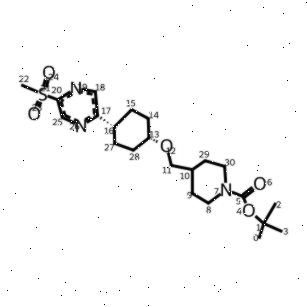 CC(C)(C)OC(=O)N1CCC(CO[C@H]2CC[C@@H](c3cnc(S(C)(=O)=O)cn3)CC2)CC1